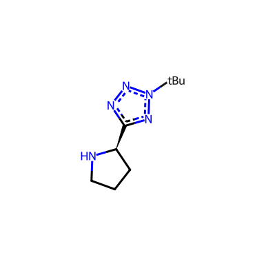 CC(C)(C)n1nnc([C@H]2CCCN2)n1